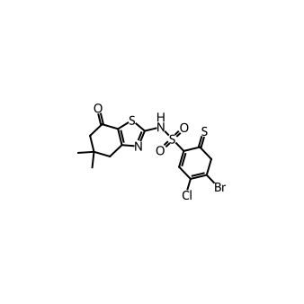 CC1(C)CC(=O)c2sc(NS(=O)(=O)C3=CC(Cl)=C(Br)CC3=S)nc2C1